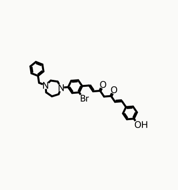 O=C(/C=C/c1ccc(O)cc1)CC(=O)/C=C/c1ccc(N2CCCN(Cc3ccccc3)CC2)cc1Br